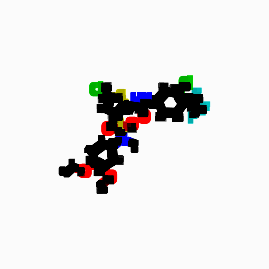 CCOc1ccc(N(C)S(=O)(=O)c2cc(Cl)sc2C(=O)Nc2ccc(C(F)(F)F)c(Cl)c2)cc1OC